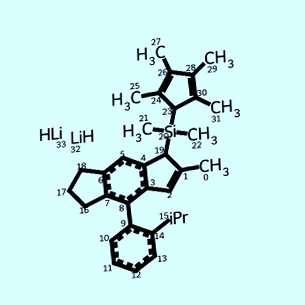 CC1=Cc2c(cc3c(c2-c2ccccc2C(C)C)CCC3)C1[Si](C)(C)C1C(C)=C(C)C(C)=C1C.[LiH].[LiH]